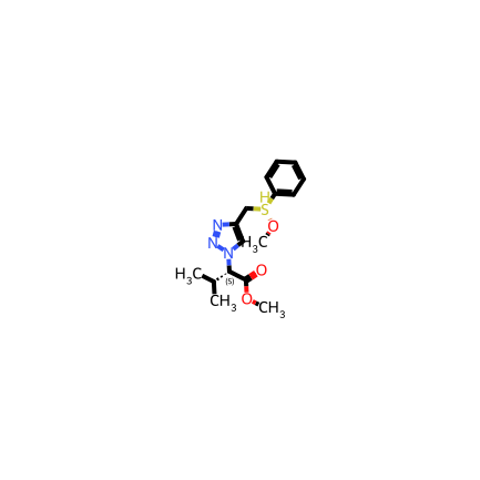 COC(=O)[C@H](C(C)C)n1cc(C[SH](OC)c2ccccc2)nn1